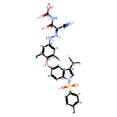 Cc1ccc(S(=O)(=O)n2cc(C(C)C)c3cc(Oc4c(C)cc(NN=C(C#N)C(=O)NC(=O)O)cc4C)ccc32)cc1